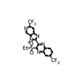 CCS(=O)(=O)c1nc2cc(C(F)(F)F)ccc2nc1-c1nc2cc(C(F)(F)F)ncc2n1C